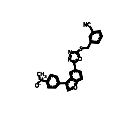 C[S+]([O-])c1ccc(-c2coc3ccc(-c4nnc(SCc5cccc(C#N)c5)o4)cc23)cc1